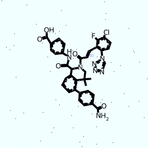 CC1(C)CN(C(=O)/C=C/c2c(-n3cnnn3)ccc(Cl)c2F)C(C(=O)Nc2ccc(C(=O)O)cc2)c2cccc(-c3ccc(C(N)=O)cc3)c21